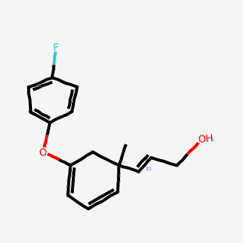 CC1(/C=C/CO)C=CC=C(Oc2ccc(F)cc2)C1